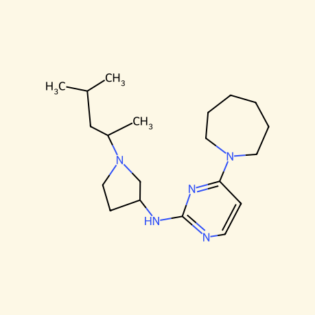 CC(C)CC(C)N1CCC(Nc2nccc(N3CCCCCC3)n2)C1